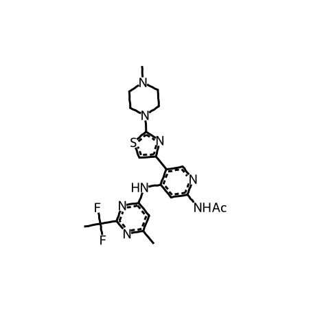 CC(=O)Nc1cc(Nc2cc(C)nc(C(C)(F)F)n2)c(-c2csc(N3CCN(C)CC3)n2)cn1